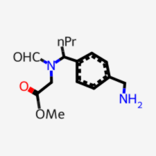 CCCC(c1ccc(CN)cc1)N(C=O)CC(=O)OC